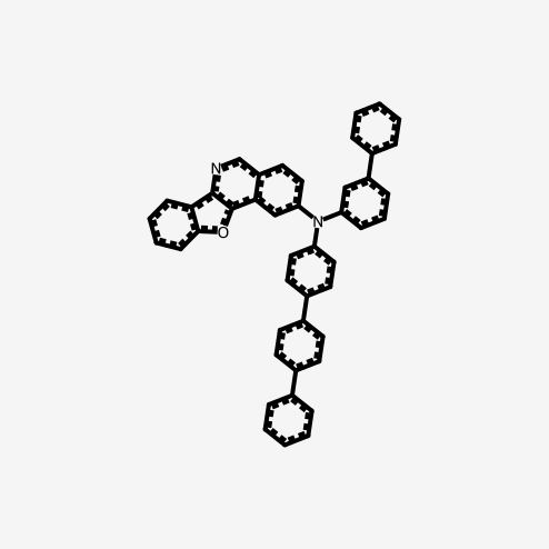 c1ccc(-c2ccc(-c3ccc(N(c4cccc(-c5ccccc5)c4)c4ccc5cnc6c7ccccc7oc6c5c4)cc3)cc2)cc1